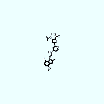 COc1ccc(F)c2c1cc(C)n2CCNc1ccnc(-c2cc(OC(C)C)c(C(=O)O)s2)c1